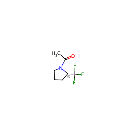 CC(=O)N1CCC[C@H]1C(F)(F)F